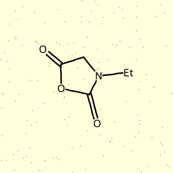 CCN1CC(=O)OC1=O